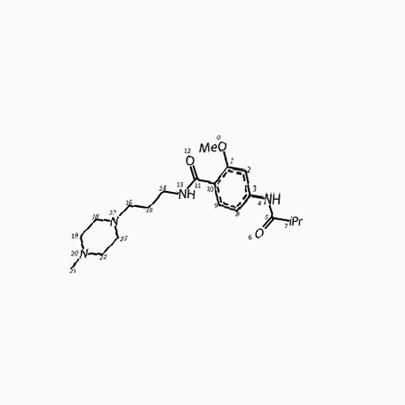 COc1cc(NC(=O)C(C)C)ccc1C(=O)NCCCN1CCN(C)CC1